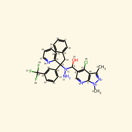 Cc1nn(C)c2ncc(C(O)N(N)C(Cc3ccccc3)(c3cccc(C(F)(F)F)c3)c3ccccn3)c(Cl)c12